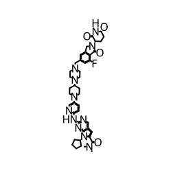 CN(C)C(=O)c1cc2cnc(Nc3ccc(N4CCC(N5CCN(Cc6cc(F)c7c(c6)CN(C6CCC(=O)NC6=O)C7=O)CC5)CC4)cn3)nc2n1C1CCCC1